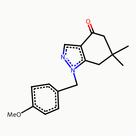 COc1ccc(Cn2ncc3c2CC(C)(C)CC3=O)cc1